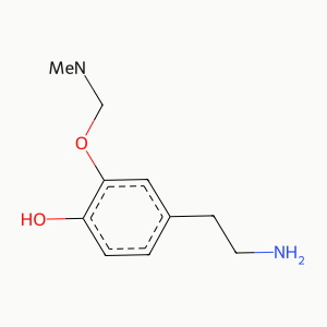 CNCOc1cc(CCN)ccc1O